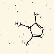 Cc1nnc(N)n1N